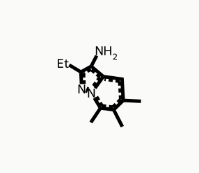 CCc1nn2c(C)c(C)c(C)cc2c1N